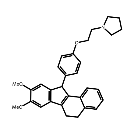 COc1cc2c(cc1OC)C(c1ccc(OCCN3CCCC3)cc1)C1=C2CCc2ccccc21